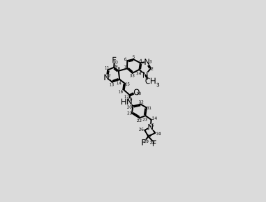 Cn1cnc2ccc(-c3c(F)cncc3C=CC(=O)Nc3ccc(CN4CC(F)(F)C4)cc3)cc21